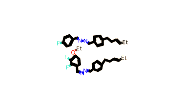 CC/C=C/CCc1ccc(/C=N/N=C/c2ccc(F)cc2)cc1.CC/C=C/CCc1ccc(/C=N/N=C\c2ccc(OCC)c(F)c2F)cc1